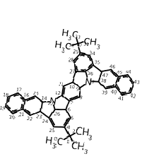 CC(C)(C)C1=CC2C3=CC4C(C=C3N3C5C=c6ccccc6=CC5C(=C1)C23)c1cc(C(C)(C)C)cc2c1N4C1C=c3ccccc3=CC21